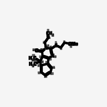 C=CCn1c(SCCOC)nc2c(c1=O)C(C)(C)c1ccccc1-2